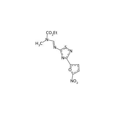 CCOC(=O)N(C)C=Nc1nc(-c2ccc([N+](=O)[O-])o2)ns1